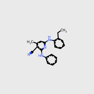 CCc1ccccc1Nc1cc(C)c(C#N)c(Nc2ccccc2)n1